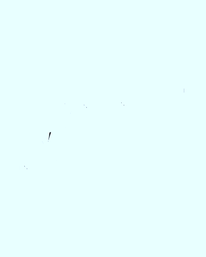 O=C(OC[C@@H]1CNCCO1)N1CCN(c2ccc(F)cc2)CC1